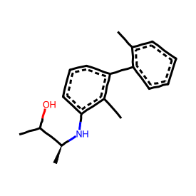 Cc1ccccc1-c1cccc(N[C@@H](C)C(C)O)c1C